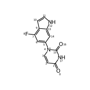 O=c1ccn(-c2cc(F)c3cc[nH]c3c2)c(=O)[nH]1